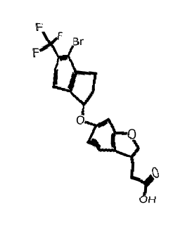 O=C(O)CC1COc2cc(O[C@@H]3CCc4c3ccc(C(F)(F)F)c4Br)ccc21